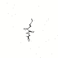 CCCC[C@@H](N)C(=O)NCC=O